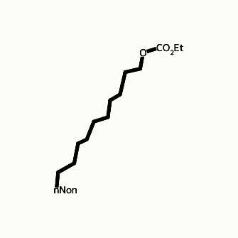 CCCCCCCCCCCCCCCCCCCOC(=O)OCC